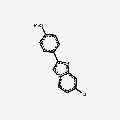 COc1ccc(-c2cn3ccc(Cl)cc3n2)cc1